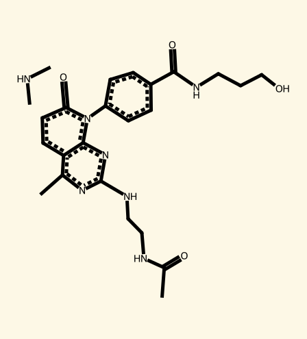 CC(=O)NCCNc1nc(C)c2ccc(=O)n(-c3ccc(C(=O)NCCCO)cc3)c2n1.CNC